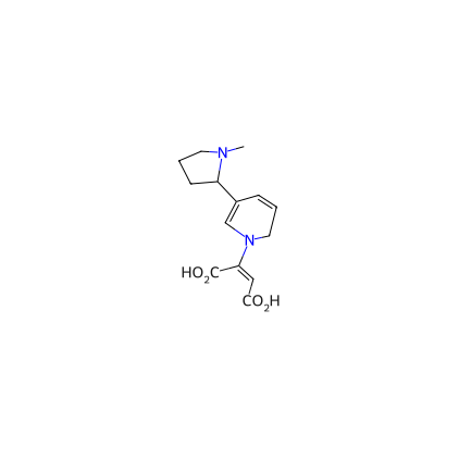 CN1CCCC1C1=CN(/C(=C/C(=O)O)C(=O)O)CC=C1